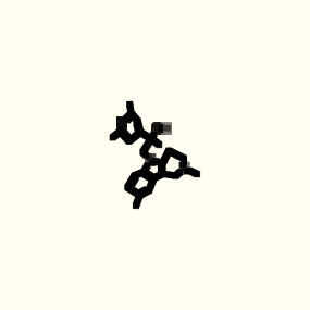 Cc1ccc2c(c1)c1c(n2CC(C)(O)c2cc(C)nc(C)c2)CCN(C)C1